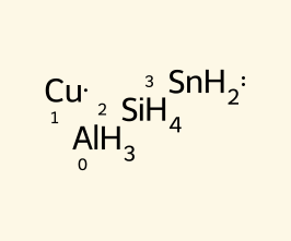 [AlH3].[Cu].[SiH4].[SnH2]